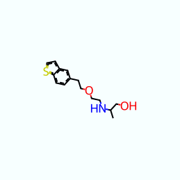 CC(CO)NCCOCCc1ccc2sccc2c1